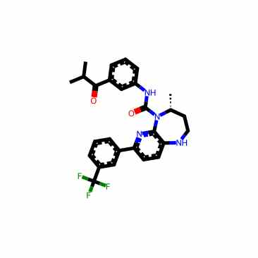 CC(C)C(=O)c1cccc(NC(=O)N2c3nc(-c4cccc(C(F)(F)F)c4)ccc3NCC[C@H]2C)c1